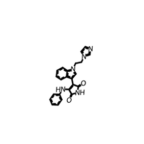 O=C1NC(=O)C(c2cn(CCn3ccnc3)c3ccccc23)=C1Nc1ccccc1